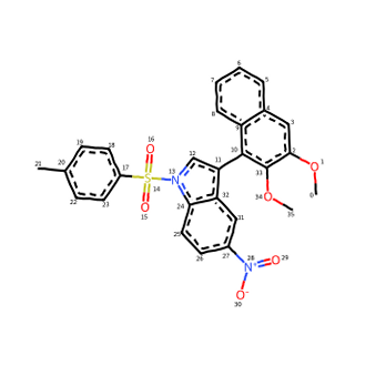 COc1cc2ccccc2c(-c2cn(S(=O)(=O)c3ccc(C)cc3)c3ccc([N+](=O)[O-])cc23)c1OC